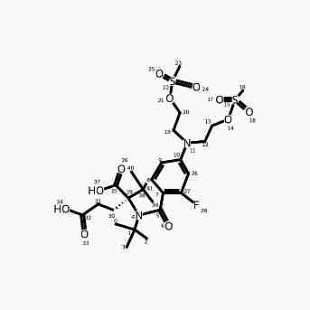 CC(C)(C)N(C(=O)c1ccc(N(CCOS(C)(=O)=O)CCOS(C)(=O)=O)cc1F)[C@@](CCC(=O)O)(C(=O)O)C(C)(C)C